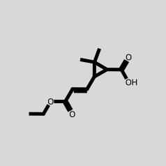 CCOC(=O)/C=C/C1C(C(=O)O)C1(C)C